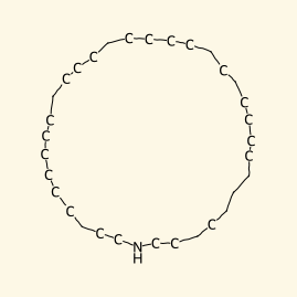 C1CCCCCCCCCCCCCCCCNCCCCCCCCCCCCCCC1